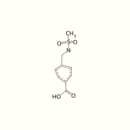 CS(=O)(=O)[N]Cc1ccc(C(=O)O)cc1